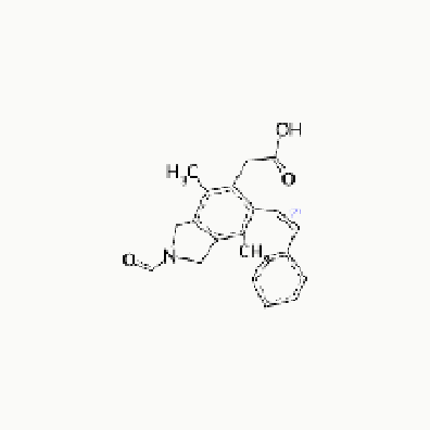 Cc1c(/C=C\c2ccccc2)c(CC(=O)O)c(C)c2c1CN(C=O)C2